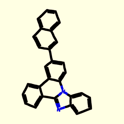 c1ccc2cc(-c3ccc4c(c3)c3ccccc3c3nc5ccccc5n43)ccc2c1